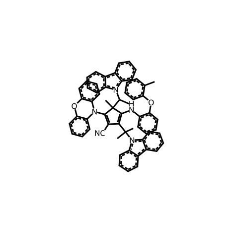 Cc1ccccc1Oc1ccccc1NC1=C(C(C)(C)n2c3ccccc3c3ccccc32)C(C#N)=C(N2c3ccccc3Oc3ccccc32)C1(C)C(C)n1c2ccccc2c2ccccc21